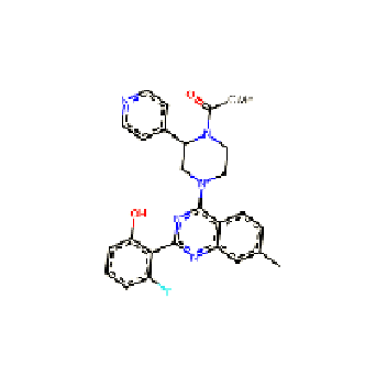 COC(=O)N1CCN(c2nc(-c3c(O)cccc3F)nc3cc(C)ccc23)CC1c1ccncc1